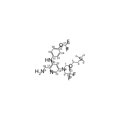 C[Si](C)(C)CCOCN(CC(F)(F)F)c1cnc(CN)c(Nc2ccc(OC(F)F)cc2)c1